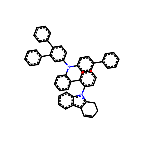 C1=Cc2c(n(-c3ccccc3-c3ccccc3N(c3ccc(-c4ccccc4)cc3)c3ccc(-c4ccccc4)c(-c4ccccc4)c3)c3ccccc23)CC1